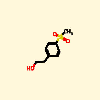 CS(=O)(=O)c1ccc(CCO)cc1